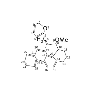 C1=CCOC=C1.C=CC(OC)C1CCCc2ccc3c(ccc4ccccc43)c21